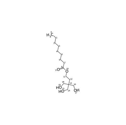 CCCCCCCCC(=O)OCCC(CO)(CO)CO